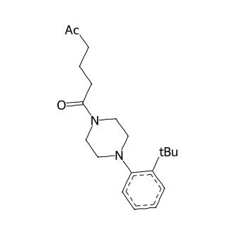 CC(=O)CCCC(=O)N1CCN(c2ccccc2C(C)(C)C)CC1